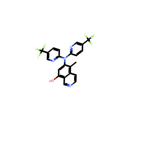 Cc1c(N(c2ccc(C(F)(F)F)cn2)c2ccc(C(F)(F)F)cn2)cc(O)c2cnccc12